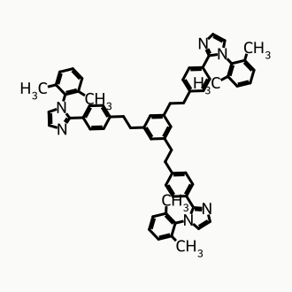 Cc1cccc(C)c1-n1ccnc1-c1ccc(CCc2cc(CCc3ccc(-c4nccn4-c4c(C)cccc4C)cc3)cc(CCc3ccc(-c4nccn4-c4c(C)cccc4C)cc3)c2)cc1